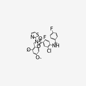 COc1ccc(CN(c2nccs2)S(=O)(=O)c2cc(Cl)c(N[C@@H](C)c3ccc(F)cc3)cc2F)c(OC)c1